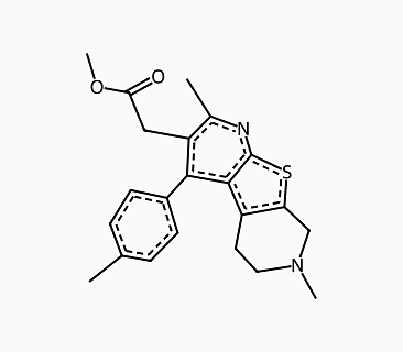 COC(=O)Cc1c(C)nc2sc3c(c2c1-c1ccc(C)cc1)CCN(C)C3